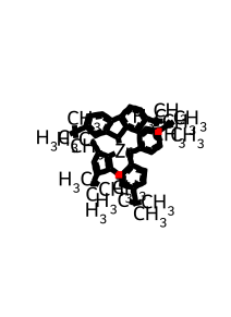 CCC1=[C]([Zr](=[C](c2ccc(C(C)(C)C)cc2)c2ccc(C(C)(C)C)cc2)[CH]2c3cc(C(C)(C)C)ccc3-c3ccc(C(C)(C)C)cc32)C(CC)C=C1C(C)(C)C